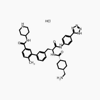 Cc1ccc(C(=O)NC2CCNCC2)cc1-c1cccc(C[C@H](NC(=O)[C@H]2CC[C@H](CN)CC2)C(=O)Nc2ccc(-c3nnn[nH]3)cc2)c1.Cl